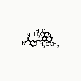 CC1(C)CCN2CCC(C)(C)c3cc(/C=C/C4=CC(=C(C#N)C#N)C=CO4)cc1c32